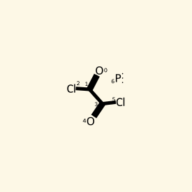 O=C(Cl)C(=O)Cl.[P]